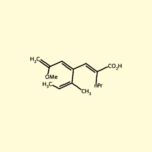 C=C(/C=C(/C=C(\CCC)C(=O)O)C(\C)=C/C)OC